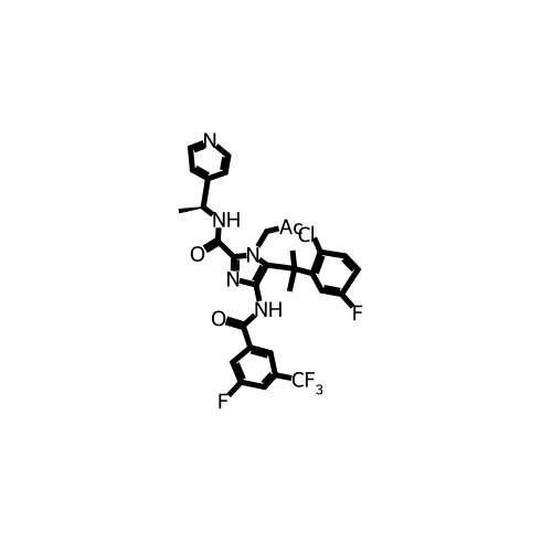 CC(=O)Cn1c(C(=O)N[C@@H](C)c2ccncc2)nc(NC(=O)c2cc(F)cc(C(F)(F)F)c2)c1C(C)(C)c1cc(F)ccc1Cl